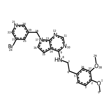 COc1ccc(CCNc2ncnc3c2ccn3Cc2cncc(Br)c2)cc1OC